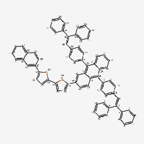 C(=C(c1ccccc1)c1ccccc1)c1ccc(-c2c3ccccc3c(-c3ccc(C=C(c4ccccc4)c4ccccc4)cc3)c3cc(-c4ccc(-c5ccc(-c6ccc7ccccc7c6)s5)s4)ccc23)cc1